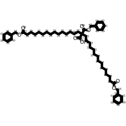 O=C(CCCCCCCCCCCCCCC(CCCCCCCCCCCCCCC(=O)OCc1ccccc1)(C(=O)O)C(=O)OCc1ccccc1)OCc1ccccc1